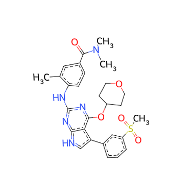 Cc1cc(C(=O)N(C)C)ccc1Nc1nc(OC2CCOCC2)c2c(-c3cccc(S(C)(=O)=O)c3)c[nH]c2n1